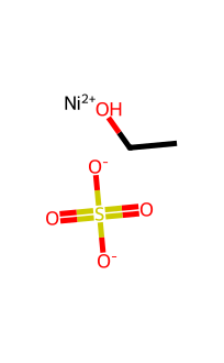 CCO.O=S(=O)([O-])[O-].[Ni+2]